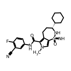 Cn1cc2c(c1C(=O)Nc1ccc(F)c(C#N)c1)CC[C@H](C1CCCCC1)NS2(=N)=O